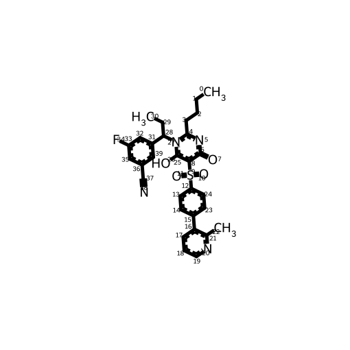 CCCCc1nc(=O)c(S(=O)(=O)c2ccc(-c3cccnc3C)cc2)c(O)n1C(CC)c1cc(F)cc(C#N)c1